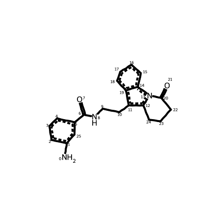 Nc1cccc(C(=O)NCCc2c3n(c4ccccc24)C(=O)CCC3)c1